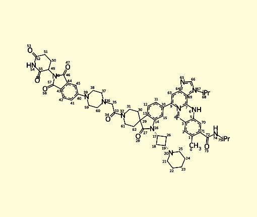 Cc1cc(F)c(Nc2nc(-c3ccc4c(c3)N([C@H]3C[C@@H](N5CCCCC5)C3)C(=O)C43CCN(C(=O)CN4CCN(c5ccc6c(c5)C(=O)N(C5CCC(=O)NC5=O)C6=O)CC4)CC3)cc3ncn(C(C)C)c23)cc1C(=O)NC(C)C